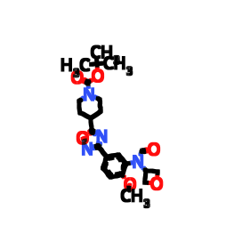 COc1ccc(-c2noc(C3CCN(C(=O)OC(C)(C)C)CC3)n2)cc1N(C=O)C1COC1